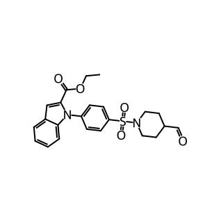 CCOC(=O)c1cc2ccccc2n1-c1ccc(S(=O)(=O)N2CCC(C=O)CC2)cc1